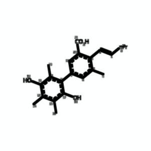 CCCC=Cc1c(C)cc(-c2c(C)c(O)c(C)c(C)c2O)cc1C(=O)O